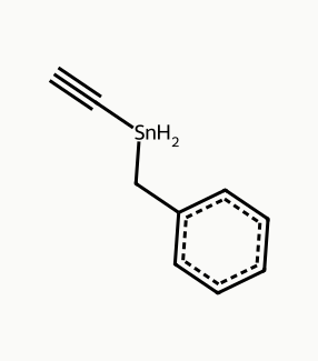 C#[C][SnH2][CH2]c1ccccc1